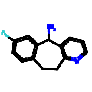 NC1c2cc(F)ccc2CCc2ncccc21